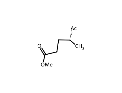 COC(=O)CC[C@@H](C)C(C)=O